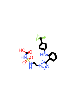 O=C(O)NS(=O)(=O)NCCn1nnc(-c2ccccc2Nc2ccc(C(F)(F)F)cc2)n1